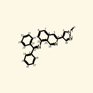 Cn1cc(-c2cc3cccc(N=C(c4ccccc4)c4ccccc4)c3cn2)cn1